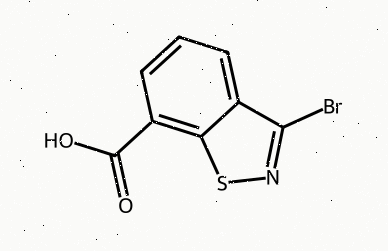 O=C(O)c1cccc2c(Br)nsc12